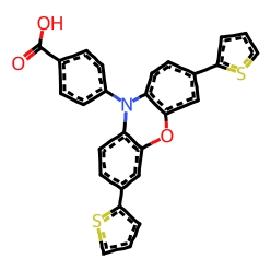 O=C(O)c1ccc(N2c3ccc(-c4cccs4)cc3Oc3cc(-c4cccs4)ccc32)cc1